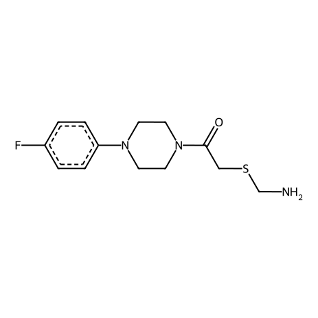 NCSCC(=O)N1CCN(c2ccc(F)cc2)CC1